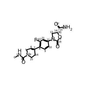 CNC(=O)N1CC=C(c2ccc(N3C[C@H](C(N)=O)OC3=O)cc2F)CC1